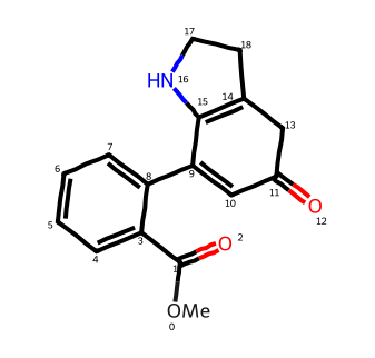 COC(=O)c1ccccc1C1=CC(=O)CC2=C1NCC2